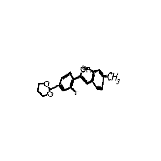 Cc1ccc(/C=C(\O)c2ccc(C3OCCCO3)cc2F)c(Br)c1